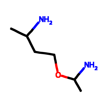 CC(N)CCOC(C)N